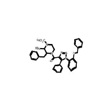 CC(C)(C)C1C(Cc2ccccc2)N(C(=O)c2nnn(-c3ccccc3OCc3ccccc3)c2-c2ccccc2)CCN1C(=O)O